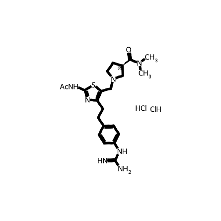 CC(=O)Nc1nc(CCc2ccc(NC(=N)N)cc2)c(CN2CC[C@@H](C(=O)N(C)C)C2)s1.Cl.Cl